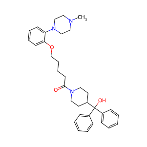 CN1CCN(c2ccccc2OCCCCC(=O)N2CCC(C(O)(c3ccccc3)c3ccccc3)CC2)CC1